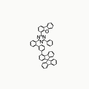 c1ccc(-c2nc(-c3ccccc3-c3cccc(-c4cccc5c4-c4ccccc4C54c5ccccc5-c5ccccc54)c3)nc(-c3cccc4c3oc3ccccc34)n2)cc1